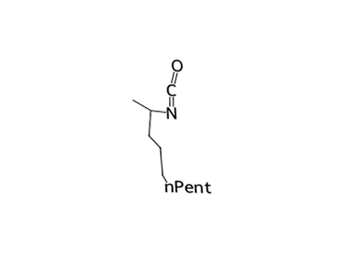 CCCCCCCCC(C)N=C=O